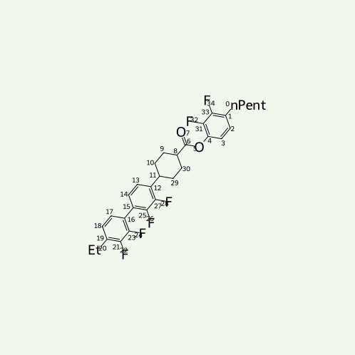 CCCCCc1ccc(OC(=O)C2CCC(c3ccc(-c4ccc(CC)c(F)c4F)c(F)c3F)CC2)c(F)c1F